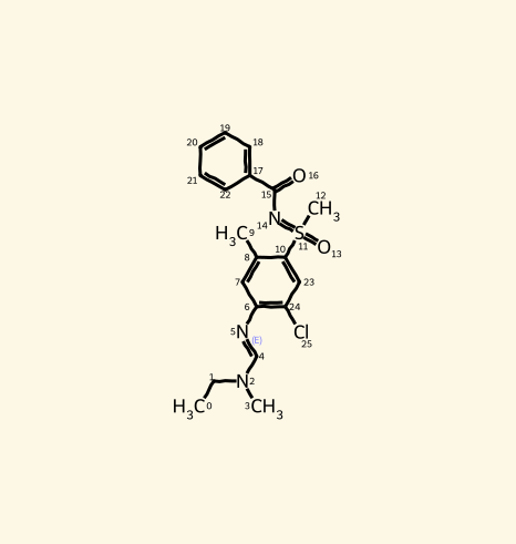 CCN(C)/C=N/c1cc(C)c(S(C)(=O)=NC(=O)c2ccccc2)cc1Cl